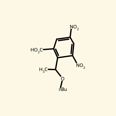 CCCCOC(C)c1c(C(=O)O)cc([N+](=O)[O-])cc1[N+](=O)[O-]